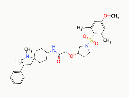 COc1cc(C)c(S(=O)(=O)N2CCC(OCC(=O)NC3CCC(CCc4ccccc4)(N(C)C)CC3)C2)c(C)c1